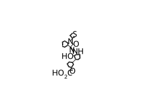 O=C(O)Oc1cccc(-c2cccc(NN=C3C(=O)N(c4ccsc4)c4ccccc43)c2O)c1